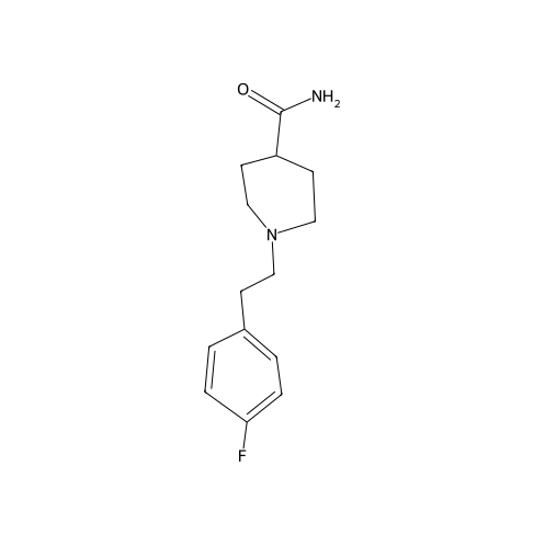 NC(=O)C1CCN(CCc2ccc(F)cc2)CC1